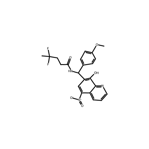 COc1ccc(C(NC(=O)CCC(C)(F)F)c2cc([N+](=O)[O-])c3cccnc3c2O)cc1